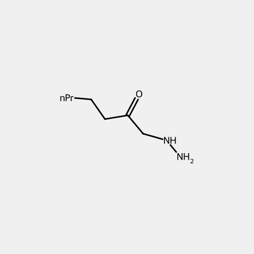 CCCCCC(=O)CNN